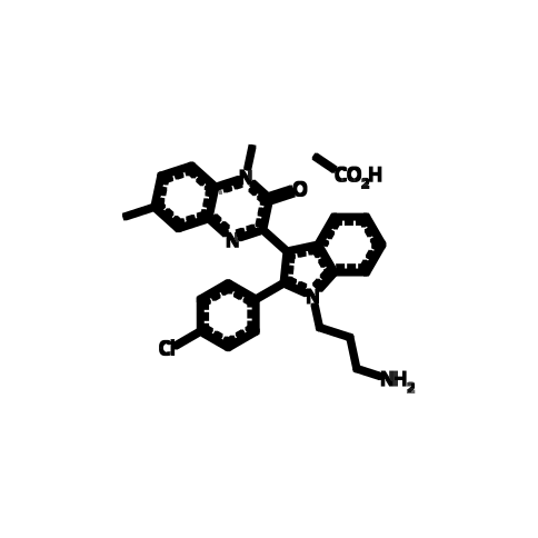 CC(=O)O.Cc1ccc2c(c1)nc(-c1c(-c3ccc(Cl)cc3)n(CCCN)c3ccccc13)c(=O)n2C